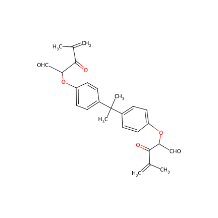 C=C(C)C(=O)C(C=O)Oc1ccc(C(C)(C)c2ccc(OC(C=O)C(=O)C(=C)C)cc2)cc1